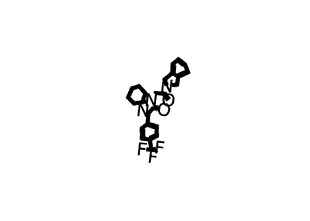 O=C(CN1C(=O)C(c2ccc(C(F)(F)F)cc2)=NC12CCCCC2)N1Cc2ccccc2C1